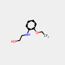 OCCNc1ccccc1OCC(F)(F)F